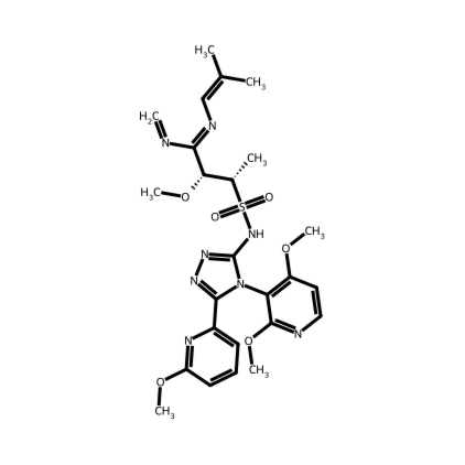 C=N/C(=N\C=C(C)C)[C@@H](OC)[C@H](C)S(=O)(=O)Nc1nnc(-c2cccc(OC)n2)n1-c1c(OC)ccnc1OC